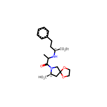 CCOC(=O)[C@H](CCc1ccccc1)NC(C)C(=O)N1CC2(C[C@H]1C(=O)O)OCCO2